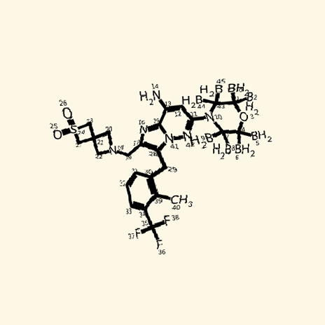 BC1(B)OC(B)(B)C(B)(B)N(c2cc(N)c3nc(CN4CC5(C4)CS(=O)(=O)C5)c(Cc4cccc(C(F)(F)F)c4C)n3n2)C1(B)B